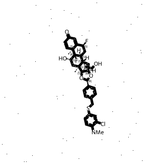 CNc1ccc(SCc2ccc([C@@H]3O[C@@H]4C[C@H]5[C@@H]6C[C@H](F)C7=CC(=O)C=C[C@]7(C)[C@@]6(F)[C@@H](O)C[C@]5(C)[C@]4(C(=O)CO)O3)cc2)cc1Cl